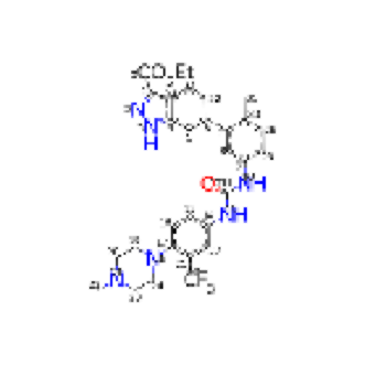 CCOC(=O)c1n[nH]c2cc(-c3cc(NC(=O)Nc4ccc(N5CCN(C)CC5)c(C(F)(F)F)c4)ccc3C)ccc12